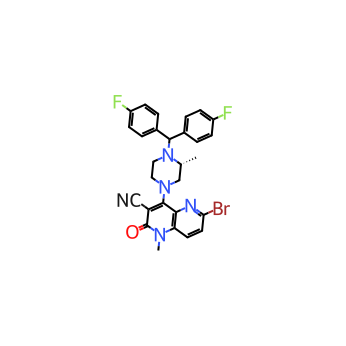 C[C@@H]1CN(c2c(C#N)c(=O)n(C)c3ccc(Br)nc23)CCN1C(c1ccc(F)cc1)c1ccc(F)cc1